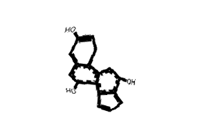 OC1=CCc2c(cc(O)c3c4c(c(O)cc23)=CC=C4)=C1